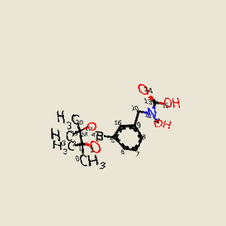 CC1(C)OB(c2cccc(CN(O)C(=O)O)c2)OC1(C)C